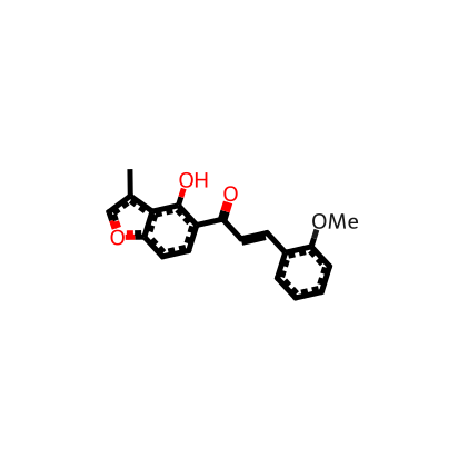 COc1ccccc1/C=C/C(=O)c1ccc2occ(C)c2c1O